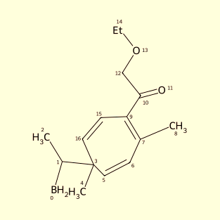 BC(C)C1(C)C=CC(C)=C(C(=O)COCC)C=C1